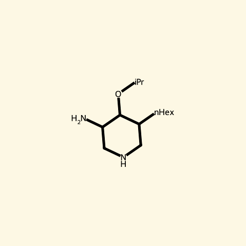 CCCCCCC1CNCC(N)C1OC(C)C